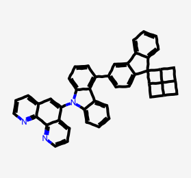 c1ccc2c(c1)-c1cc(-c3cccc4c3c3ccccc3n4-c3cc4cccnc4c4ncccc34)ccc1C21C2CC3CC4CC1C342